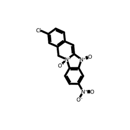 O=[N+]([O-])c1ccc2c(c1)[N+](=O)C1=Cc3ccc(Cl)cc3C[N+]12[O-]